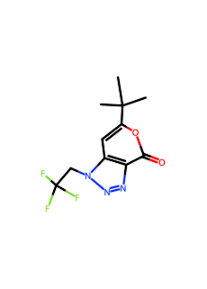 CC(C)(C)c1cc2c(nnn2CC(F)(F)F)c(=O)o1